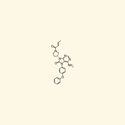 C/C=C/C(=O)N1CC[C@@H](n2c(=O)n(-c3ccc(Oc4ccccc4)cc3)c3c(N)ncnc32)C1